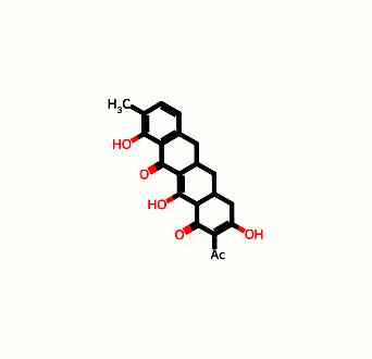 CC(=O)C1=C(O)CC2CC3Cc4ccc(C)c(O)c4C(=O)C3=C(O)C2C1=O